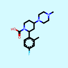 Cc1cc(F)ccc1C1CC(N2CCN(C)CC2)CCN1C(=O)O